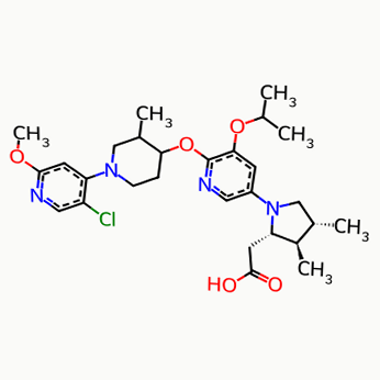 COc1cc(N2CCC(Oc3ncc(N4C[C@H](C)[C@@H](C)[C@@H]4CC(=O)O)cc3OC(C)C)C(C)C2)c(Cl)cn1